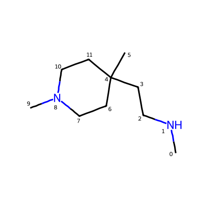 CNCCC1(C)CCN(C)CC1